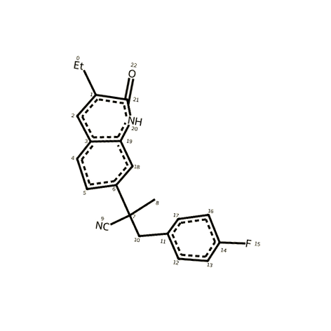 CCc1cc2ccc(C(C)(C#N)Cc3ccc(F)cc3)cc2[nH]c1=O